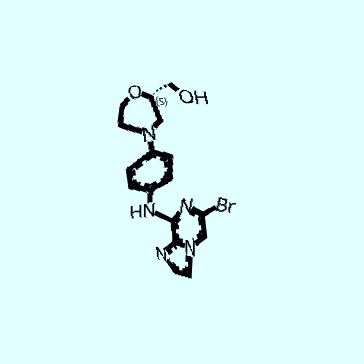 OC[C@@H]1CN(c2ccc(Nc3nc(Br)cn4ccnc34)cc2)CCO1